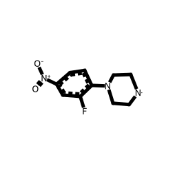 O=[N+]([O-])c1ccc(N2CC[N]CC2)c(F)c1